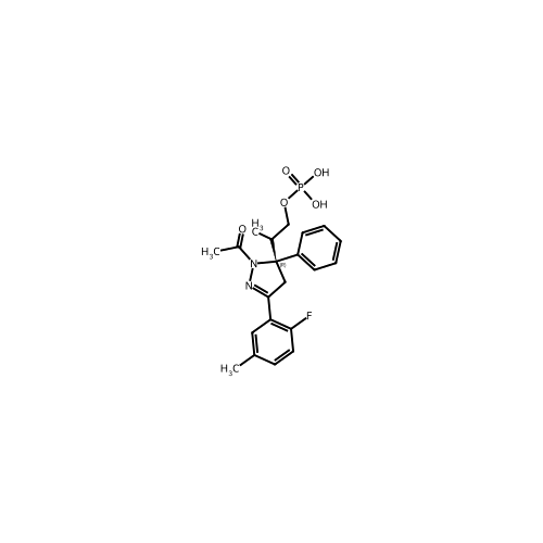 CC(=O)N1N=C(c2cc(C)ccc2F)C[C@]1(c1ccccc1)C(C)COP(=O)(O)O